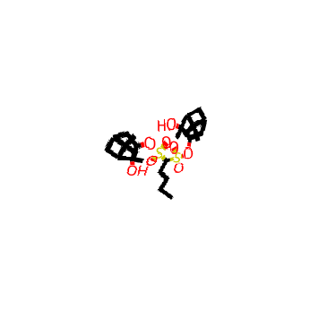 CCCCC(S(=O)(=O)OC1CC2CC(C2(C)C)C1(C)O)S(=O)(=O)OC1CC2CC(C2(C)C)C1(C)O